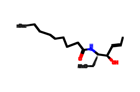 C/C=C/[C@@H](O)[C@H](COC)NC(=O)CCCCCCCCCCCCCCCCC